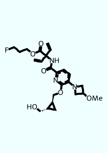 C=CC(C=C)(NC(=O)c1ccc(N2CC(OC)C2)c(OC[C@H]2C[C@@H]2CO)n1)C(=O)OCCCF